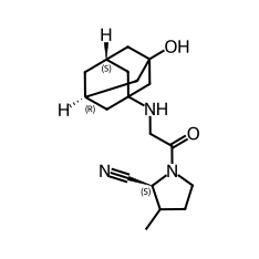 CC1CCN(C(=O)CNC23C[C@@H]4C[C@@H](CC(O)(C4)C2)C3)[C@@H]1C#N